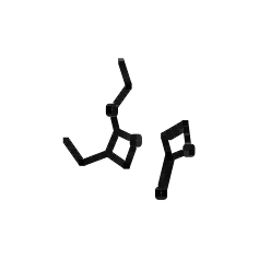 CCOC1OCC1CC.O=C1C=CO1